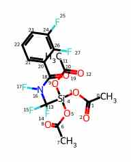 CC(=O)O[Si](OC(C)=O)(OC(C)=O)C(F)(F)N(F)C(=O)c1cccc(F)c1F